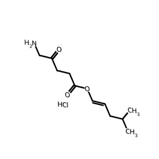 CC(C)CC=COC(=O)CCC(=O)CN.Cl